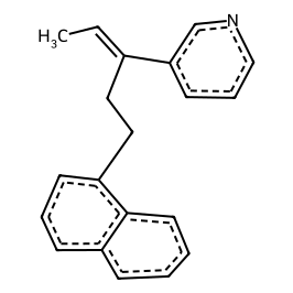 C/C=C(\CCc1cccc2ccccc12)c1cccnc1